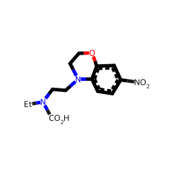 CCN(CCN1CCOc2cc([N+](=O)[O-])ccc21)C(=O)O